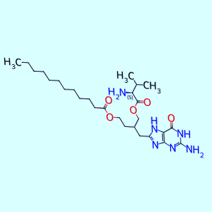 CCCCCCCCCCCC(=O)OCCC(COC(=O)[C@@H](N)C(C)C)Cc1nc2nc(N)[nH]c(=O)c2[nH]1